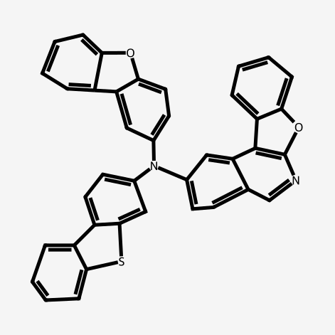 c1ccc2c(c1)oc1ccc(N(c3ccc4c(c3)sc3ccccc34)c3ccc4cnc5oc6ccccc6c5c4c3)cc12